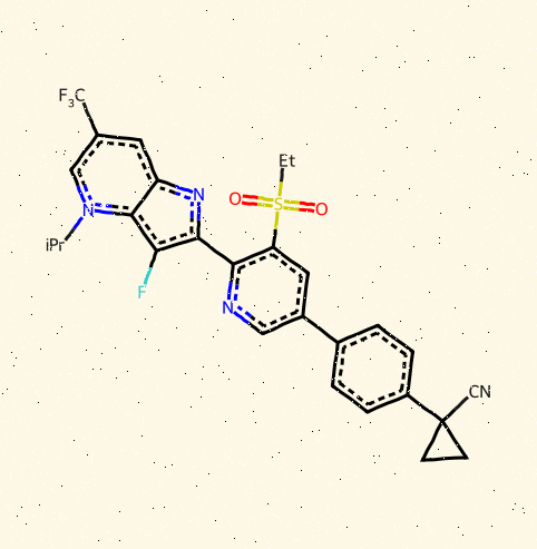 CCS(=O)(=O)c1cc(-c2ccc(C3(C#N)CC3)cc2)cnc1-c1nc2cc(C(F)(F)F)cn(C(C)C)c-2c1F